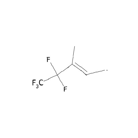 [CH2]/C=C(\C)C(F)(F)C(F)(F)F